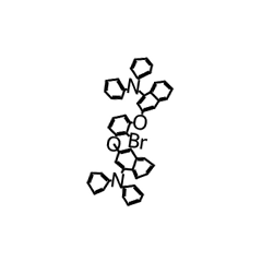 Brc1c(Oc2cc(N(c3ccccc3)c3ccccc3)c3ccccc3c2)cccc1Oc1cc(N(c2ccccc2)c2ccccc2)c2ccccc2c1